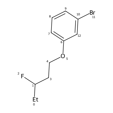 CCC(F)CCOc1cccc(Br)c1